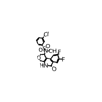 CN(C1COCc2[nH]c(=O)c3cc(F)c(F)cc3c21)S(=O)(=O)c1cccc(Cl)c1